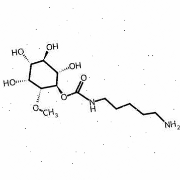 CO[C@@H]1[C@H](O)[C@H](O)[C@@H](O)[C@H](O)[C@H]1OC(=O)NCCCCCN